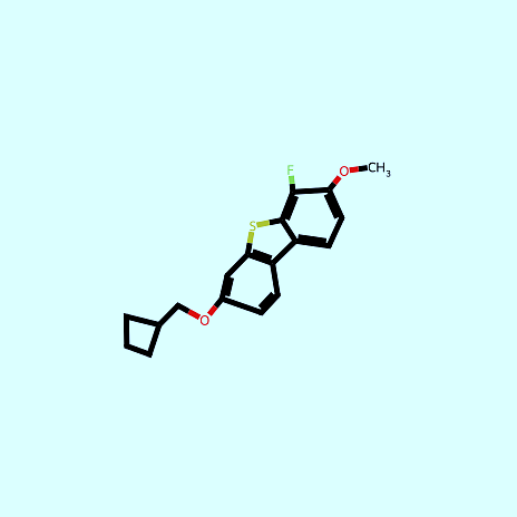 COc1ccc2c(sc3cc(OCC4CCC4)ccc32)c1F